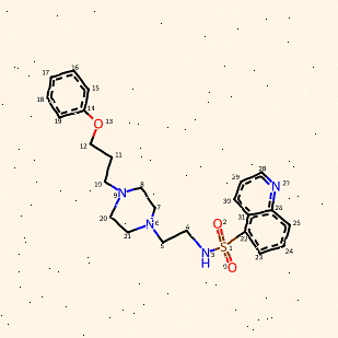 O=S(=O)(NCCN1CCN(CCCOc2ccccc2)CC1)c1cccc2ncccc12